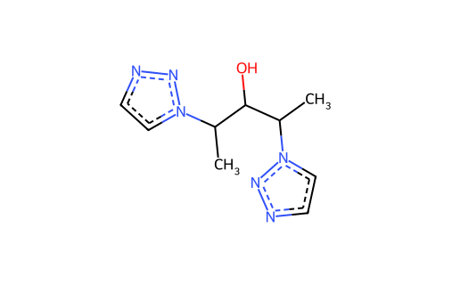 CC(C(O)C(C)n1ccnn1)n1ccnn1